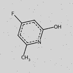 Cc1cc(F)cc(O)n1